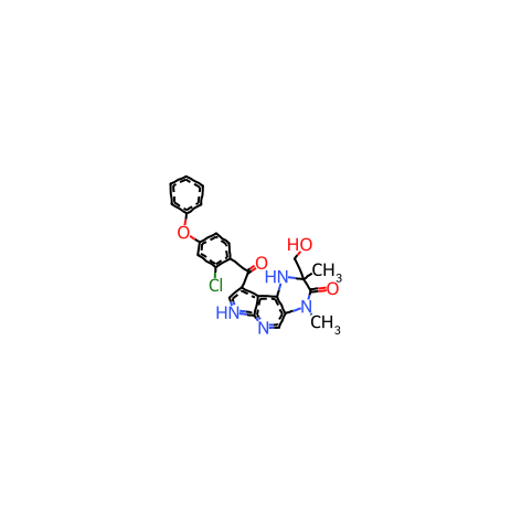 CN1C(=O)C(C)(CO)Nc2c1cnc1[nH]cc(C(=O)c3ccc(Oc4ccccc4)cc3Cl)c21